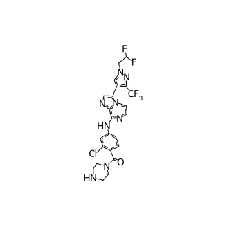 O=C(c1ccc(Nc2nccn3c(-c4cn(CC(F)F)nc4C(F)(F)F)cnc23)cc1Cl)N1CCNCC1